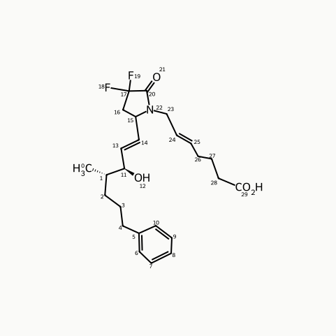 C[C@@H](CCCc1ccccc1)[C@H](O)C=CC1CC(F)(F)C(=O)N1CC=CCCCC(=O)O